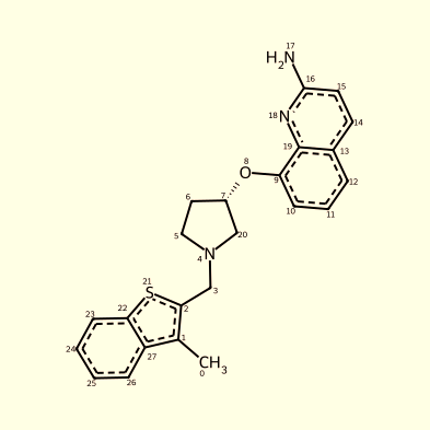 Cc1c(CN2CC[C@H](Oc3cccc4ccc(N)nc34)C2)sc2ccccc12